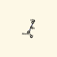 COc1ccc(/C=C/c2cc(/C=C/c3ccc4[nH]ccc4c3)n[nH]2)cc1OCc1ccccn1